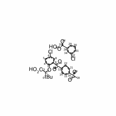 CC(C)(C)C(Oc1ccc(Cl)cc1S(=O)(=O)c1ccc(S(C)(=O)=O)cc1)C(=O)O.O=C(OO)c1cccc(Cl)c1